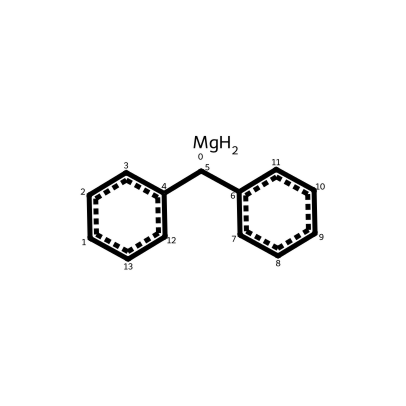 [MgH2].c1ccc(Cc2ccccc2)cc1